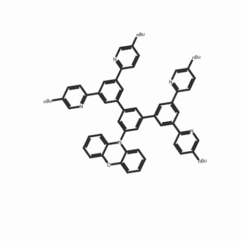 CCCCc1ccc(-c2cc(-c3cc(-c4cc(-c5ccc(CCCC)cn5)cc(-c5ccc(CCCC)cn5)c4)cc(N4c5ccccc5Oc5ccccc54)c3)cc(-c3ccc(CCCC)cn3)c2)nc1